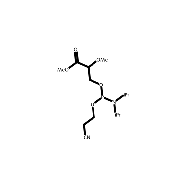 COC(=O)C(COP(OCCC#N)N(C(C)C)C(C)C)OC